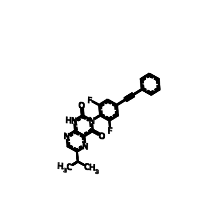 CC(C)c1cnc2[nH]c(=O)n(-c3c(F)cc(C#Cc4ccccc4)cc3F)c(=O)c2n1